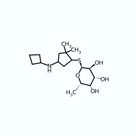 C[C@@H]1O[C@@H](SC2CC(NC3CCC3)CC2(C)C)[C@@H](O)[C@H](O)[C@@H]1O